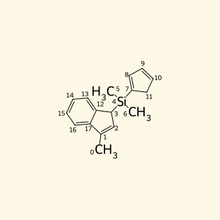 CC1=CC([Si](C)(C)C2=CC=CC2)c2ccccc21